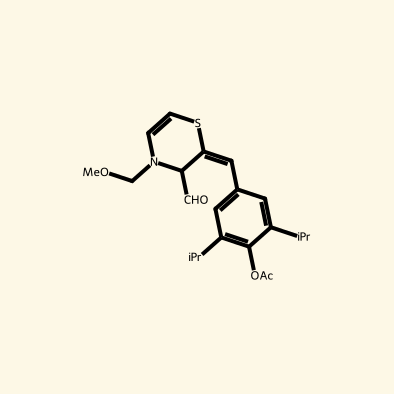 COCN1C=CSC(=Cc2cc(C(C)C)c(OC(C)=O)c(C(C)C)c2)C1C=O